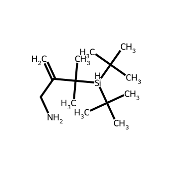 C=C(CN)C(C)(C)[SiH](C(C)(C)C)C(C)(C)C